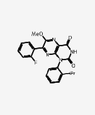 COc1nc2c(=O)[nH]c(=O)n(-c3ccccc3C(C)C)c2nc1-c1ccccc1F